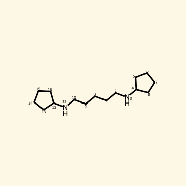 C(CCNC1CCCC1)CCNC1CCCC1